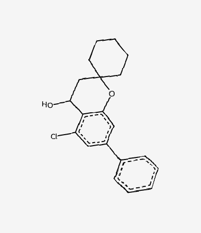 OC1CC2(CCCCC2)Oc2cc(-c3ccccc3)cc(Cl)c21